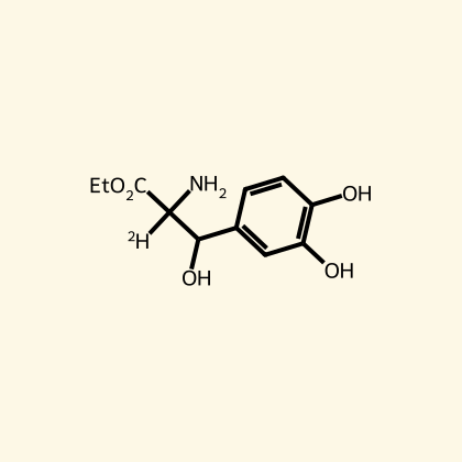 [2H]C(N)(C(=O)OCC)C(O)c1ccc(O)c(O)c1